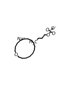 C1CCCCCCCOCCCCCCC1.CCCCOS(=O)(=O)[O-].[Na+]